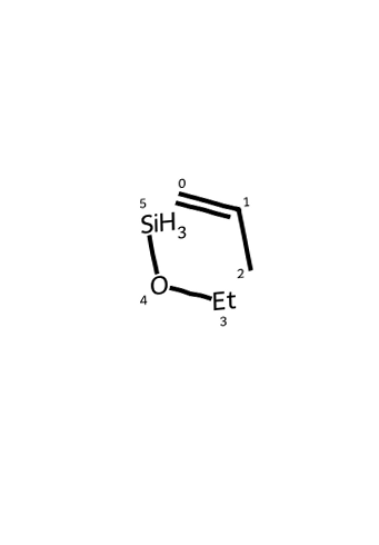 C=CC.CCO[SiH3]